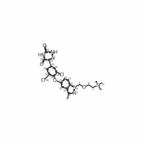 Cc1nn(COCC[Si](C)(C)C)c2ccc(Oc3c(Cl)cc(-c4n[nH]c(=O)[nH]c4=O)cc3Cl)cc12